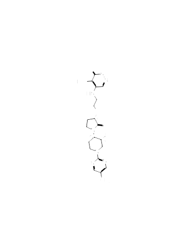 O=C1[C@H](OCCNc2cn[nH]c(=O)c2C(F)(F)F)CCN1[C@@H]1CCN(c2ncc(C(F)(F)F)cn2)C[C@@H]1F